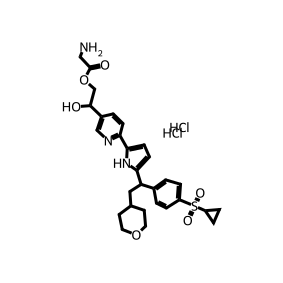 Cl.Cl.NCC(=O)OCC(O)c1ccc(-c2ccc(C(CC3CCOCC3)c3ccc(S(=O)(=O)C4CC4)cc3)[nH]2)nc1